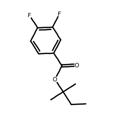 CCC(C)(C)OC(=O)c1ccc(F)c(F)c1